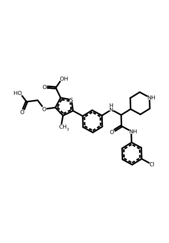 Cc1c(-c2cccc(NC(C(=O)Nc3cccc(Cl)c3)C3CCNCC3)c2)sc(C(=O)O)c1OCC(=O)O